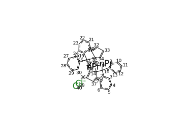 CCCC(c1ccccc1)(c1ccccc1)[C]1([Zr+2][C]2(C(CCC)(c3ccccc3)c3ccccc3)C=CC=C2)C=CC=C1.[Cl-].[Cl-]